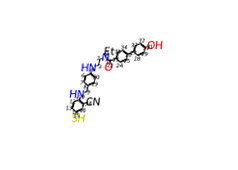 CCN(CCNc1ccc(CNc2ccc(S)cc2C#N)cc1)C(=O)c1ccc(-c2ccc(O)cc2)cc1